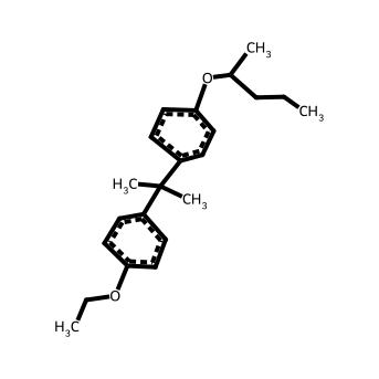 CCCC(C)Oc1ccc(C(C)(C)c2ccc(OCC)cc2)cc1